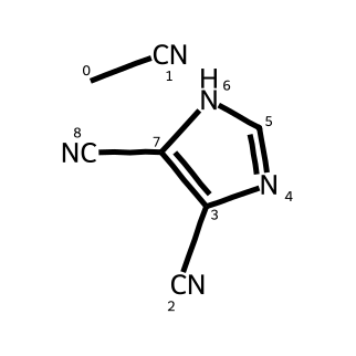 CC#N.N#Cc1nc[nH]c1C#N